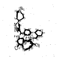 CC(C)(C)N1CCC(n2cc(C(Nc3cc(Cl)c4ncc(C#N)c(NCC5CCOCC5)c4c3)c3ccccc3)nn2)CC1